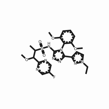 CCn1ccc(-c2nnc(NS(=O)(=O)C(C)C(OC)c3ncc(F)cn3)n2-c2c(OC)cccc2OC)n1